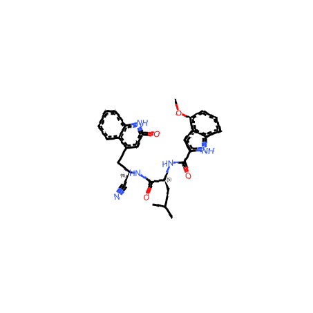 COc1cccc2[nH]c(C(=O)N[C@@H](CC(C)C)C(=O)N[C@@H](C#N)Cc3cc(=O)[nH]c4ccccc34)cc12